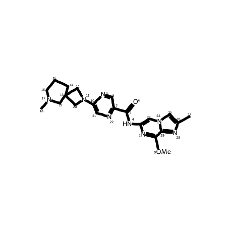 COc1nc(NC(=O)c2cnc(N3CC4(CCCN(C)C4)C3)cn2)cn2cc(C)nc12